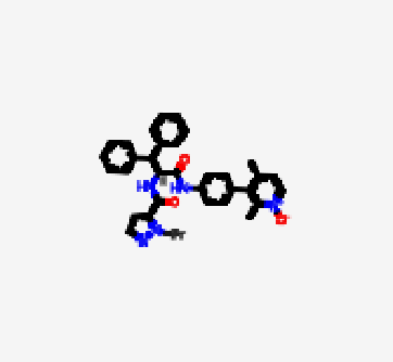 Cc1cc[n+]([O-])c(C)c1-c1ccc(NC(=O)[C@@H](NC(=O)c2ccnn2C(C)C)C(c2ccccc2)c2ccccc2)cc1